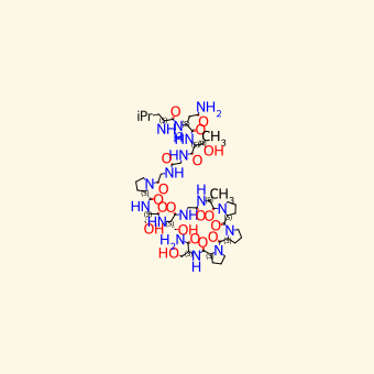 CC(C)C[C@H](N)C(=O)N[C@@H](CC(N)=O)C(=O)N[C@H](C(=O)NCC(=O)NCC(=O)N1CCC[C@H]1C(=O)N[C@@H](CO)C(=O)N[C@@H](CO)C(=O)NCC(=O)N[C@@H](C)C(=O)N1CCC[C@H]1C(=O)N1CCC[C@H]1C(=O)N1CCC[C@H]1C(=O)N[C@@H](CO)C(N)=O)[C@@H](C)O